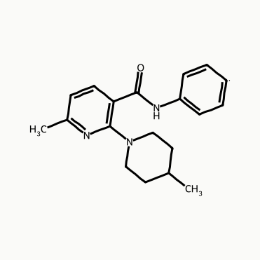 Cc1ccc(C(=O)Nc2cc[c]cc2)c(N2CCC(C)CC2)n1